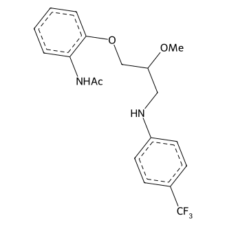 COC(CNc1ccc(C(F)(F)F)cc1)COc1ccccc1NC(C)=O